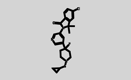 CC1(C)c2cc(Cl)ccc2C(=O)N1c1cncc(C2(F)CCN(SC3CC3)CC2)c1